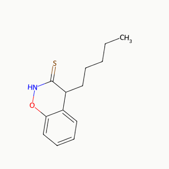 CCCCCC1C(=S)NOc2ccccc21